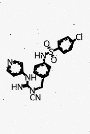 N#CN(Cc1ccc(NS(=O)(=O)c2ccc(Cl)cc2)cc1)C(=N)Nc1ccncc1